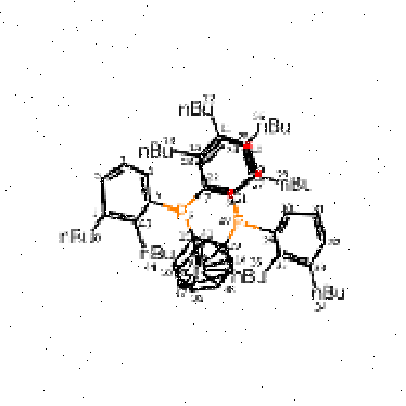 CCCCc1cccc(P(c2cccc(CCCC)c2CCCC)[C]23[CH]4[CH]5[CH]6[C]2(P(c2cccc(CCCC)c2CCCC)c2cccc(CCCC)c2CCCC)[Zr]54632789[CH]3[CH]2[CH]7[CH]8[CH]39)c1CCCC